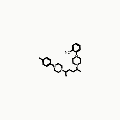 Cc1ccc(N2CCN(C(C)CCC(C)N3CCN(c4ccccc4C#N)CC3)CC2)cc1